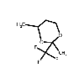 CC1CCOC(C)(C(F)(F)F)O1